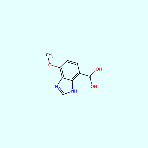 COc1ccc(B(O)O)c2[nH]cnc12